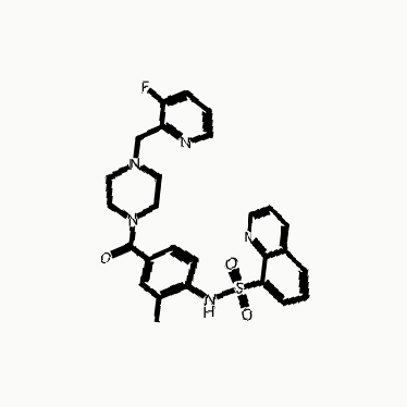 Cc1cc(C(=O)N2CCN(Cc3ncccc3F)CC2)ccc1NS(=O)(=O)c1cccc2cccnc12